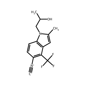 [C-]#[N+]c1ccc2c(cc(C)n2CC(C)O)c1C(F)(F)F